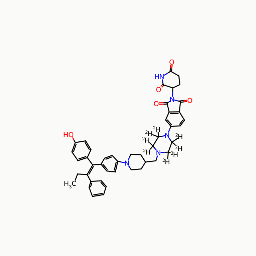 [2H]C1([2H])N(CC2CCN(c3ccc(C(=C(CC)c4ccccc4)c4ccc(O)cc4)cc3)CC2)C([2H])([2H])C([2H])([2H])N(c2ccc3c(c2)C(=O)N(C2CCC(=O)NC2=O)C3=O)C1([2H])[2H]